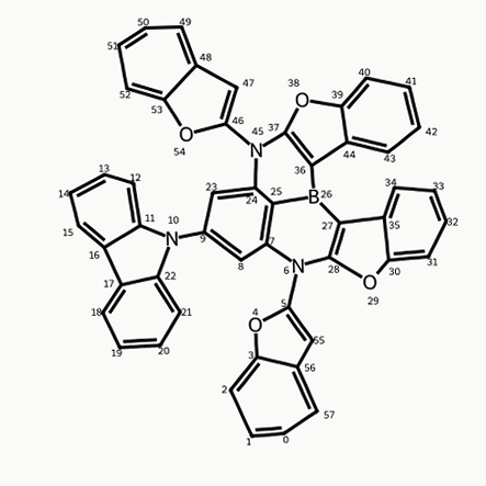 c1ccc2oc(N3c4cc(-n5c6ccccc6c6ccccc65)cc5c4B(c4c3oc3ccccc43)c3c(oc4ccccc34)N5c3cc4ccccc4o3)cc2c1